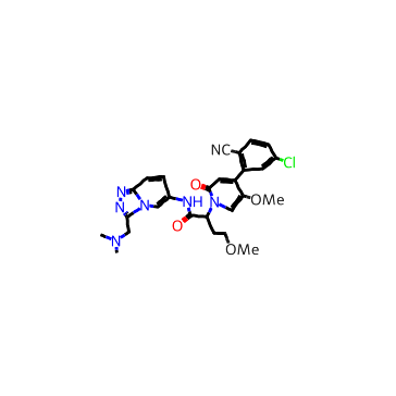 COCCC(C(=O)Nc1ccc2nnc(CN(C)C)n2c1)n1cc(OC)c(-c2cc(Cl)ccc2C#N)cc1=O